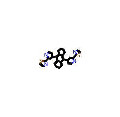 c1ccc2c(-c3ccnc(-c4nccs4)c3)c3ccccc3c(-c3ccnc(-c4nccs4)c3)c2c1